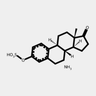 C[C@]12CC[C@@H]3c4ccc(OS(=O)(=O)O)cc4CC[C@H]3[C@@H]1CCC2=O.N